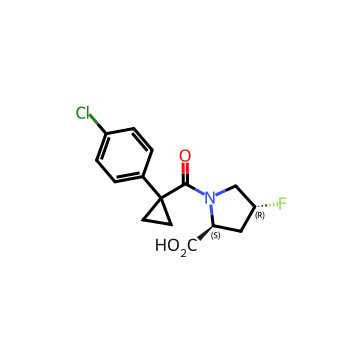 O=C(O)[C@@H]1C[C@@H](F)CN1C(=O)C1(c2ccc(Cl)cc2)CC1